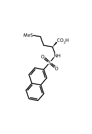 CSCC[C@H](NS(=O)(=O)c1ccc2ccccc2c1)C(=O)O